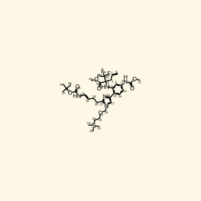 C=CCC(Nc1cc(NC(=O)OC)ccc1-c1cn(COCC[Si](C)(C)C)c(CCC=CNC(=O)OC(C)(C)C)n1)(C(=O)OC)C(F)(F)F